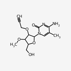 C#CCOC1C(OC)C(CO)OC1n1cc(C)c(N)nc1=O